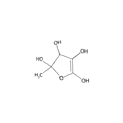 CC1(O)OC(O)=C(O)C1O